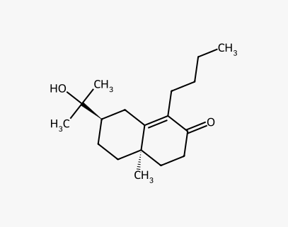 CCCCC1=C2C[C@H](C(C)(C)O)CC[C@]2(C)CCC1=O